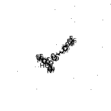 C[C@@H](S[C@H]1CO[C@H](/C=C/C=C/c2ccc(OCC(F)(F)C(F)F)cc2)OC1)[C@](O)(Cn1cncn1)c1ccc(C(F)(F)F)cc1